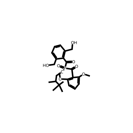 COc1cccc(OC)c1C(=O)P(=O)(CCC(C)C(C)(C)C)C(=O)c1c(CO)cccc1CO